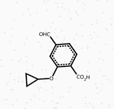 O=Cc1ccc(C(=O)O)c(OC2CC2)c1